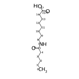 CCCCCC(=O)NCCCCCCCC(=O)O